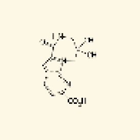 CC1(C)CNC(=O)c2cc3ccc(C(=O)O)nc3n2C1